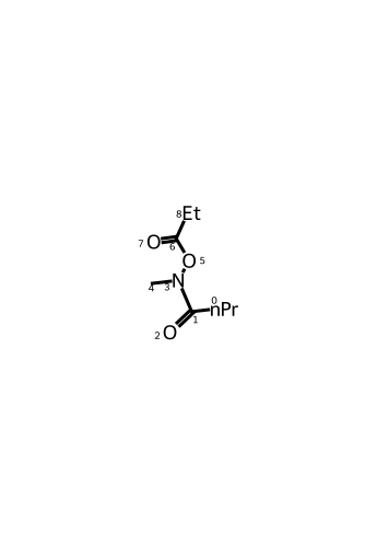 CCCC(=O)N(C)OC(=O)CC